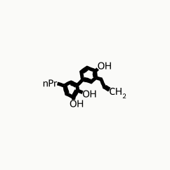 C=CCc1cc(-c2cc(CCC)cc(O)c2O)ccc1O